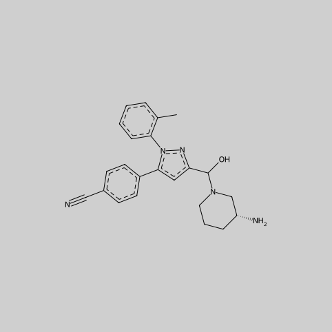 Cc1ccccc1-n1nc(C(O)N2CCC[C@@H](N)C2)cc1-c1ccc(C#N)cc1